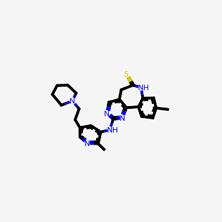 Cc1ccc2c(c1)NC(=S)Cc1cnc(Nc3cc(CCN4CCCCC4)cnc3C)nc1-2